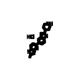 Cc1cn2nc(-c3ccc4nc(C5CCNCC5)sc4c3)ccc2n1.Cl